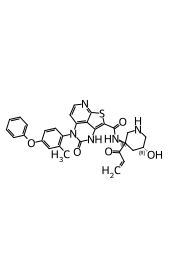 C=CC(=O)[C@]1(NC(=O)c2sc3nccc4c3c2NC(=O)N4c2ccc(Oc3ccccc3)cc2C)CNC[C@H](O)C1